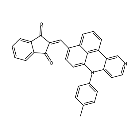 Cc1ccc(N2c3ccncc3-c3cccc4c(C=C5C(=O)c6ccccc6C5=O)ccc2c34)cc1